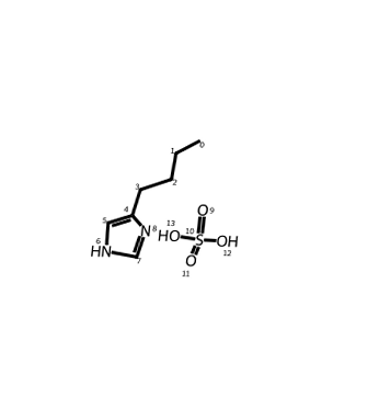 CCCCc1c[nH]cn1.O=S(=O)(O)O